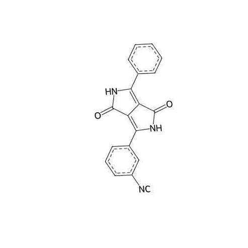 [C-]#[N+]c1cccc(C2=C3C(=O)NC(c4ccccc4)=C3C(=O)N2)c1